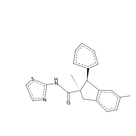 Cc1ccc2c(c1)[C@H](c1ccccc1)[C@](C)(C(=O)Nc1nccs1)C2